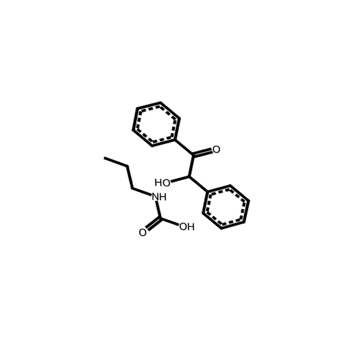 CCCNC(=O)O.O=C(c1ccccc1)C(O)c1ccccc1